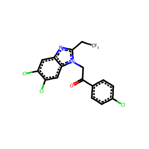 O=C(Cn1c(CC(F)(F)F)nc2cc(Cl)c(Cl)cc21)c1ccc(Cl)cc1